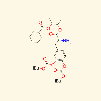 CCC(C)OC(=O)Oc1cc(C[C@H](N)C(=O)OC(C)C(C)OC(=O)C2CCCCC2)ccc1OC(=O)O[C@@H](C)CC